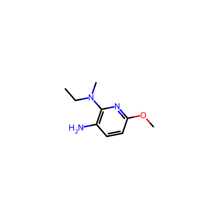 CCN(C)c1nc(OC)ccc1N